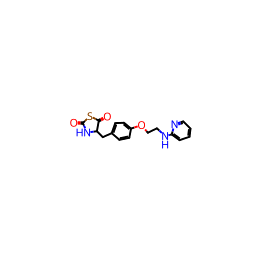 O=C1NC(Cc2ccc(OCCNc3ccccn3)cc2)C(=O)S1